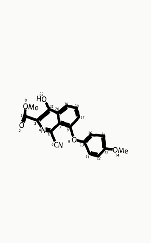 COC(=O)c1nc(C#N)c2c(Oc3ccc(OC)cc3)cccc2c1O